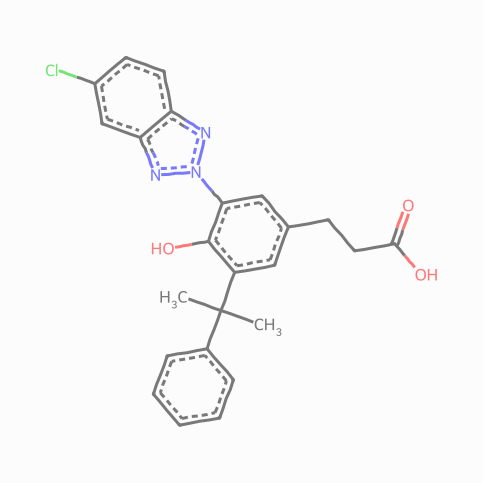 CC(C)(c1ccccc1)c1cc(CCC(=O)O)cc(-n2nc3ccc(Cl)cc3n2)c1O